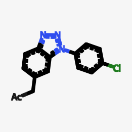 CC(=O)Cc1ccc2nnn(-c3ccc(Cl)cc3)c2c1